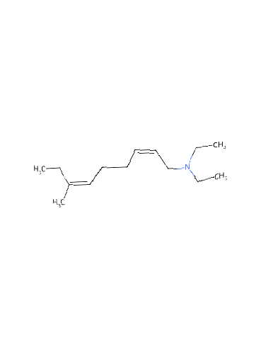 CCC(C)=CCC/C=C\CN(CC)CC